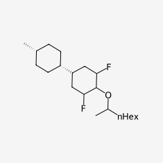 CCCCCCC(C)OC1C(F)CC([C@H]2CC[C@@H](C)CC2)CC1F